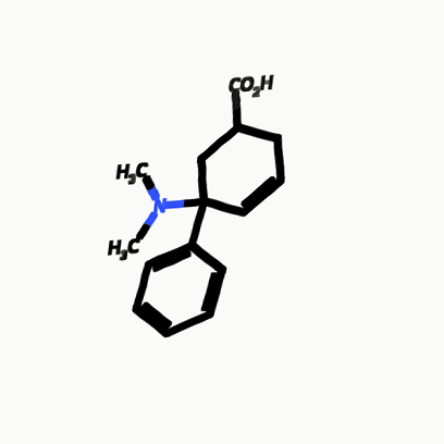 CN(C)C1(c2ccccc2)C=CCC(C(=O)O)C1